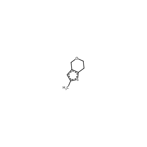 Cc1cc2c(s1)CCOC2